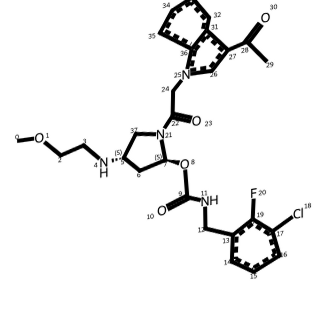 COCCN[C@H]1C[C@H](OC(=O)NCc2cccc(Cl)c2F)N(C(=O)Cn2cc(C(C)=O)c3ccccc32)C1